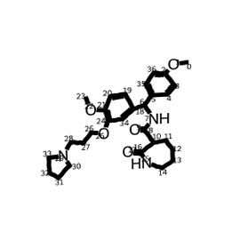 COc1ccc(C(NC(=O)C2CCCCNC2=O)c2ccc(OC)c(OCCCN3CCCC3)c2)cc1